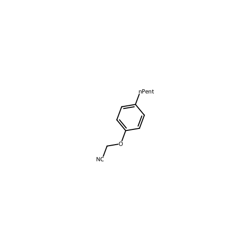 CCCCCc1ccc(OCC#N)cc1